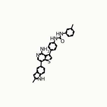 Cc1cccc(NC(=O)Nc2ccc(-c3csc4c(-c5ccc6[nH]c(C)cc6c5)cnc(N)c34)cc2)c1